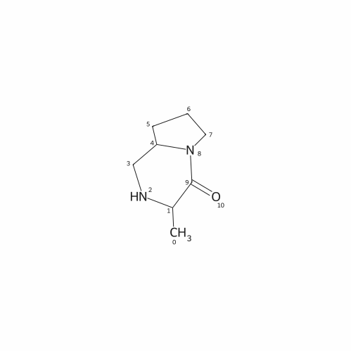 CC1NCC2CCCN2C1=O